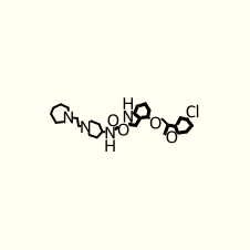 O=C(NC1CCN(CCN2CCCCCC2)CC1)Oc1cc2c(OCc3coc4ccc(Cl)cc34)cccc2[nH]1